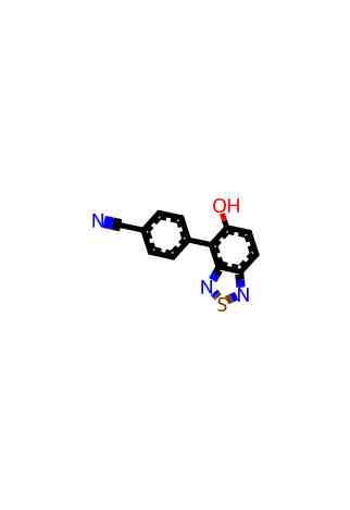 N#Cc1ccc(-c2c(O)ccc3nsnc23)cc1